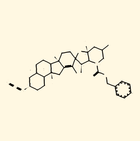 CC1=C2C[C@H]3C(CC[C@@H]4C[C@H](N=[N+]=[N-])CC[C@@]43C)[C@@H]2CCC12O[C@@H]1CC(C)CN(C(=O)OCc3ccccc3)C1[C@H]2C